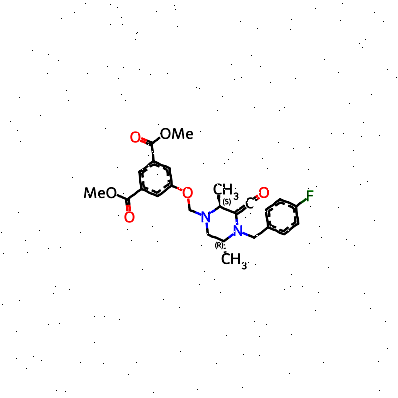 COC(=O)c1cc(OCN2C[C@@H](C)N(Cc3ccc(F)cc3)C(=C=O)[C@@H]2C)cc(C(=O)OC)c1